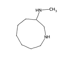 CNC1CCCCCCNC1